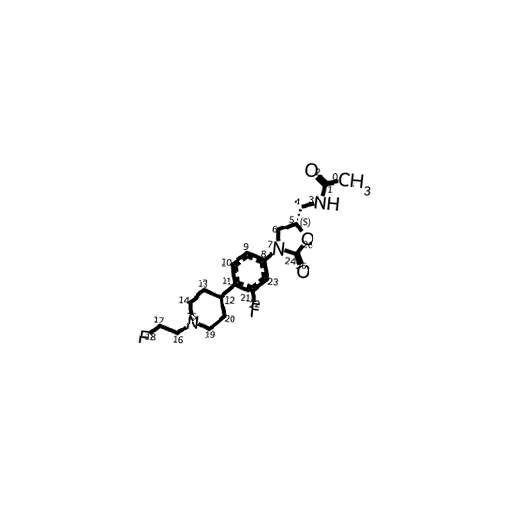 CC(=O)NC[C@H]1CN(c2ccc(C3CCN(CCF)CC3)c(F)c2)C(=O)O1